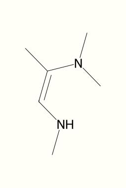 CN/C=C(/C)N(C)C